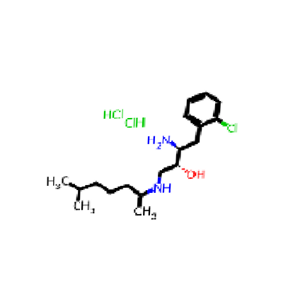 CC(C)CCCC(C)NC[C@@H](O)[C@@H](N)Cc1ccccc1Cl.Cl.Cl